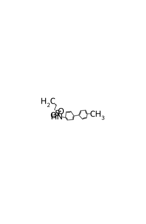 C=CCS(=O)(=O)Nc1ccc(-c2ccc(C)cc2)cc1